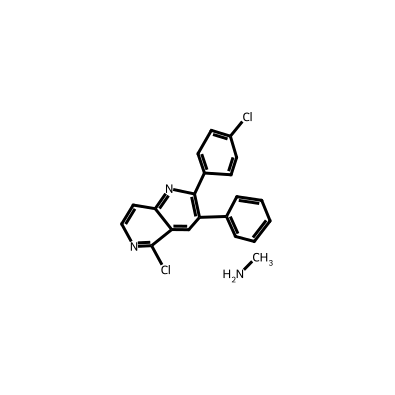 CN.Clc1ccc(-c2nc3ccnc(Cl)c3cc2-c2ccccc2)cc1